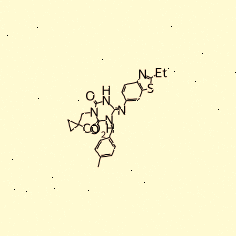 CCc1nc2ccc(/N=c3\[nH]c(=O)n(CC4(C(=O)O)CC4)c(=O)n3Cc3ccc(C)cc3)cc2s1